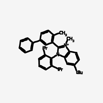 Cc1ccc(-c2ccccc2)cc1-c1n(-c2c(C(C)C)cccc2C(C)C)c2cc(C(C)(C)C)ccc2[n+]1C